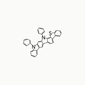 c1ccc(-n2c3ccccc3c3cc4c5ccc6c7ccccc7sc6c5n(-c5ccccc5)c4cc32)cc1